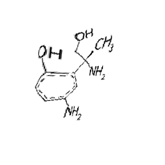 C[C@](N)(CO)c1cc(N)ccc1O